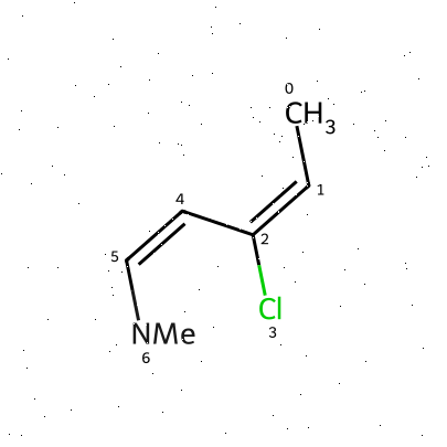 C/C=C(Cl)\C=C/NC